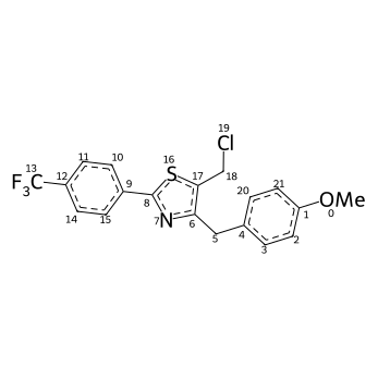 COc1ccc(Cc2nc(-c3ccc(C(F)(F)F)cc3)sc2CCl)cc1